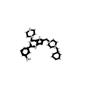 Oc1cccc(-c2nc(N3CCOCC3)c3sc(CN4CCN(CC5CCCCC5)CC4)cc3n2)c1